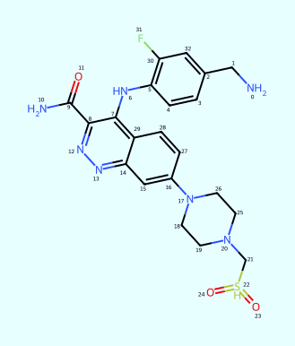 NCc1ccc(Nc2c(C(N)=O)nnc3cc(N4CCN(C[SH](=O)=O)CC4)ccc23)c(F)c1